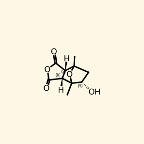 CC12C[C@H](O)C(C)(O1)[C@@H]1C(=O)OC(=O)[C@@H]12